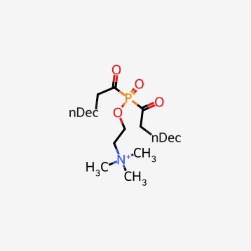 CCCCCCCCCCCC(=O)P(=O)(OCC[N+](C)(C)C)C(=O)CCCCCCCCCCC